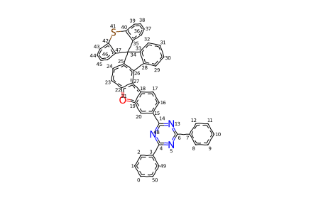 c1ccc(-c2nc(-c3ccccc3)nc(-c3ccc4c(c3)oc3ccc5c(c34)-c3ccccc3C53c4ccccc4Sc4ccccc43)n2)cc1